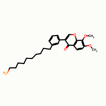 COc1ccc2c(=O)c(-c3cccc(CCCCCCCCCCP)c3)coc2c1OC